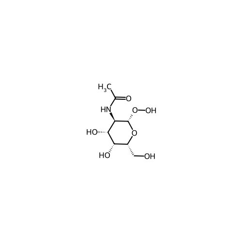 CC(=O)N[C@H]1[C@H](OO)O[C@H](CO)[C@H](O)[C@@H]1O